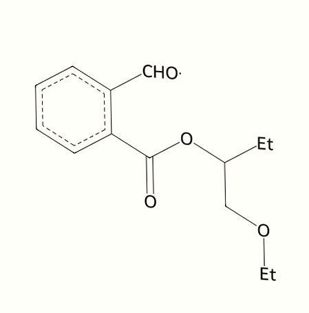 CCOCC(CC)OC(=O)c1ccccc1[C]=O